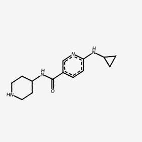 O=C(NC1CCNCC1)c1ccc(NC2CC2)nc1